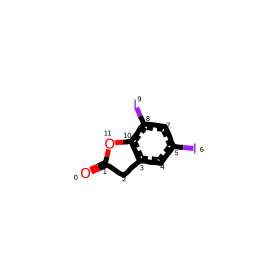 O=C1Cc2cc(I)cc(I)c2O1